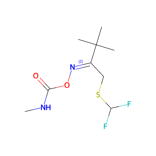 CNC(=O)O/N=C(\CSC(F)F)C(C)(C)C